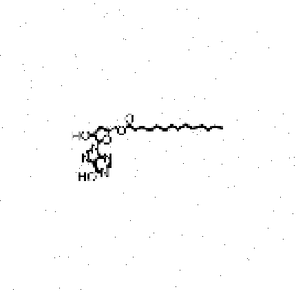 CCCCCCCCCCCCCC(=O)OC[C@@H]1CC(O)[C@H](n2cnc3c(O)ncnc32)O1